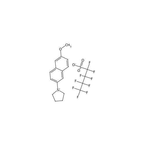 COc1ccc2cc([S+]3CCCC3)ccc2c1.O=S(=O)([O-])C(F)(F)C(F)(F)C(F)(F)C(F)(F)F